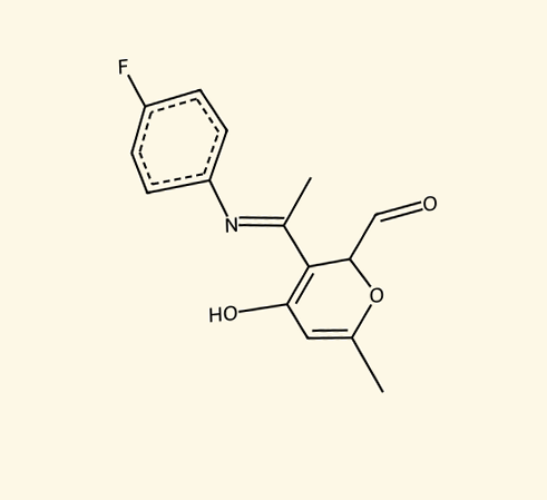 CC1=CC(O)=C(C(C)=Nc2ccc(F)cc2)C(C=O)O1